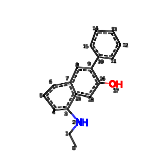 CCNc1cccc2cc(-c3ccccc3)c(O)cc12